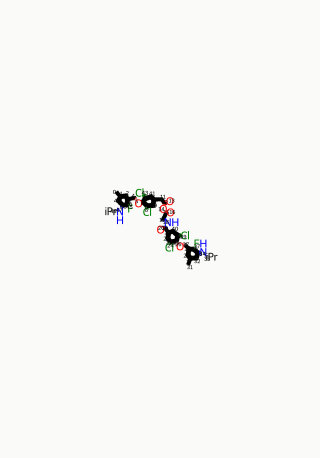 Cc1cc(COc2c(Cl)cc(CC(=O)OC(=O)CNC(=O)c3cc(Cl)c(OCc4cc(C)cc(NC(C)C)c4F)c(Cl)c3)cc2Cl)c(F)c(NC(C)C)c1